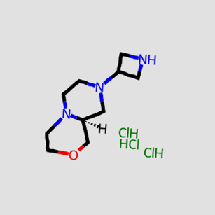 C1CN2CCN(C3CNC3)C[C@H]2CO1.Cl.Cl.Cl